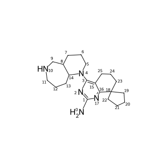 Nc1nc(N2CCCC3CNCCCC32)c2c(n1)C1(CCCC1)CCC2